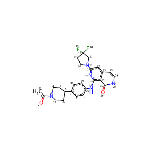 CC(=O)N1CCC(c2ccc(Nc3nc(N4CCC(F)(F)C4)cc4c3C(=O)[N]C=C4)cc2)CC1